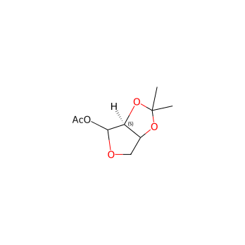 CC(=O)OC1OCC2OC(C)(C)O[C@@H]21